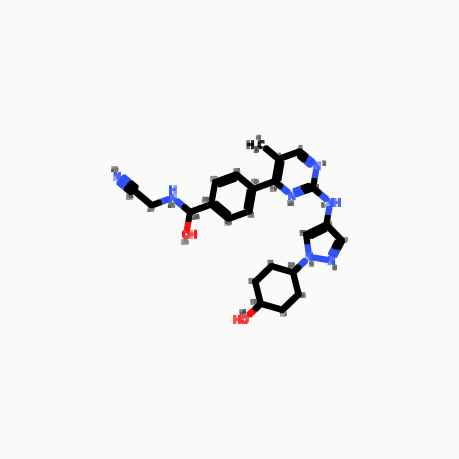 Cc1cnc(Nc2cnn(C3CCC(O)CC3)c2)nc1-c1ccc(C(O)NCC#N)cc1